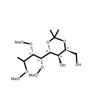 COOC(C)[C@H](OOC)[C@@H](OOC)[C@@H]1OC(C)(C)O[C@@H](CO)[C@H]1O